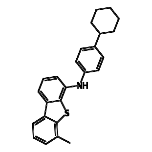 Cc1cccc2c1sc1c(Nc3ccc(C4CCCCC4)cc3)cccc12